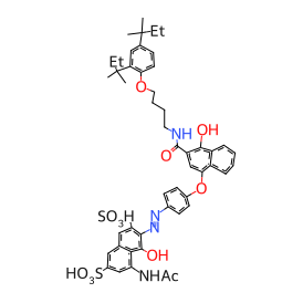 CCC(C)(C)c1ccc(OCCCCNC(=O)c2cc(Oc3ccc(/N=N/c4c(S(=O)(=O)O)cc5cc(S(=O)(=O)O)cc(NC(C)=O)c5c4O)cc3)c3ccccc3c2O)c(C(C)(C)CC)c1